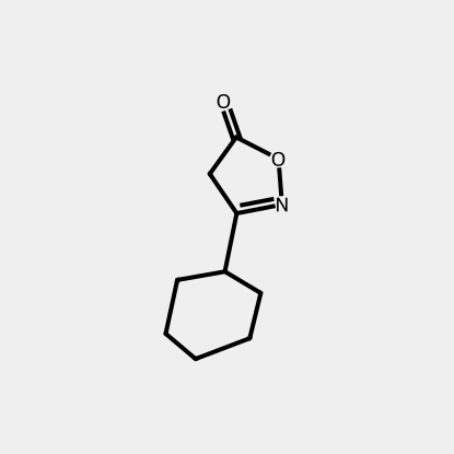 O=C1CC(C2CCCCC2)=NO1